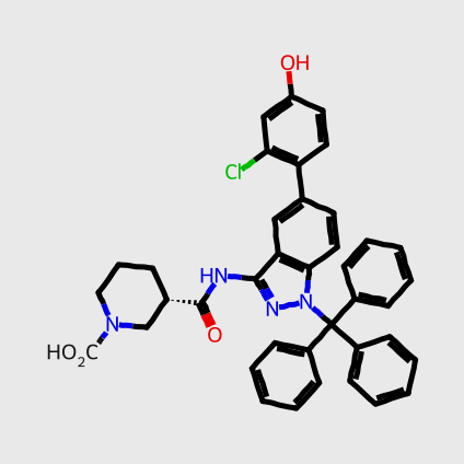 O=C(Nc1nn(C(c2ccccc2)(c2ccccc2)c2ccccc2)c2ccc(-c3ccc(O)cc3Cl)cc12)[C@H]1CCCN(C(=O)O)C1